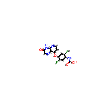 O=C(O)Nc1cc(F)c(Oc2ccnc3[nH]c(=O)cnc23)cc1F